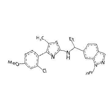 CCCn1ncc2ccc(C(CC)Nc3nc(-c4ccc(OC)cc4Cl)c(C)s3)cc21